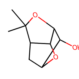 CC1(C)OC2C(O)C3CC1C2O3